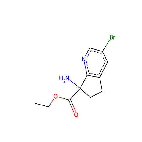 CCOC(=O)C1(N)CCc2cc(Br)cnc21